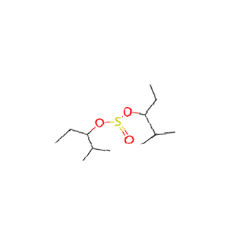 CCC(OS(=O)OC(CC)C(C)C)C(C)C